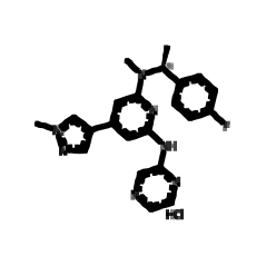 C[C@@H](c1ccc(F)cc1)N(C)c1cc(-c2cnn(C)c2)cc(Nc2cnccn2)n1.Cl